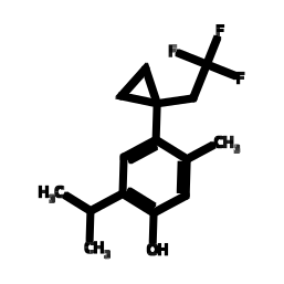 Cc1cc(O)c(C(C)C)cc1C1(CC(F)(F)F)CC1